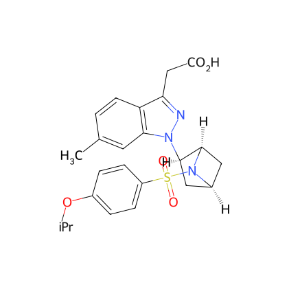 Cc1ccc2c(CC(=O)O)nn([C@@H]3C[C@@H]4C[C@H]3N4S(=O)(=O)c3ccc(OC(C)C)cc3)c2c1